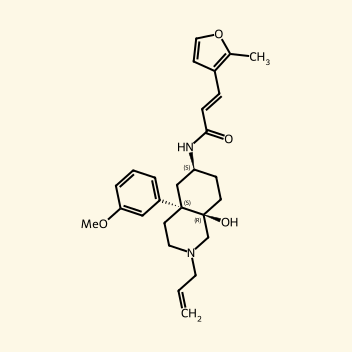 C=CCN1CC[C@@]2(c3cccc(OC)c3)C[C@@H](NC(=O)C=Cc3ccoc3C)CC[C@]2(O)C1